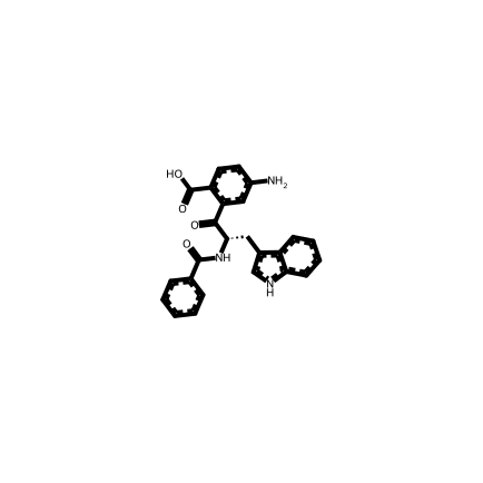 Nc1ccc(C(=O)O)c(C(=O)[C@H](Cc2c[nH]c3ccccc23)NC(=O)c2ccccc2)c1